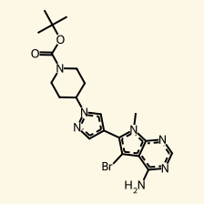 Cn1c(-c2cnn(C3CCN(C(=O)OC(C)(C)C)CC3)c2)c(Br)c2c(N)ncnc21